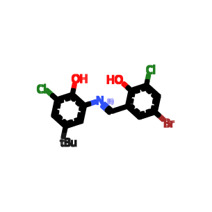 CC(C)(C)c1cc(Cl)c(O)c(/N=C/c2cc(Br)cc(Cl)c2O)c1